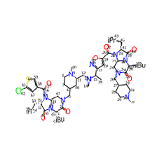 CCC(C)[C@H]1C(=O)N(CC2CCN(C)C(CN(C)C(C)c3cc(C(=O)N4C5CN(CC6CCN(C)CC6)C(=O)[C@H](C(C)CC)N5C(=O)[C@@H]4CC(C)C)on3)C2)CC2N1C(=O)[C@H](CC(C)C)N2C(=O)c1csc(Cl)c1